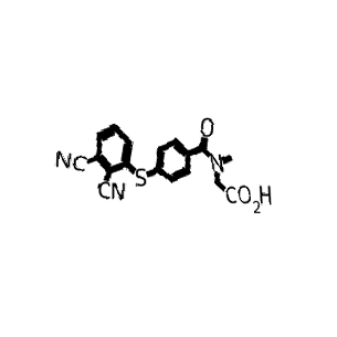 CN(CC(=O)O)C(=O)c1ccc(Sc2cccc(C#N)c2C#N)cc1